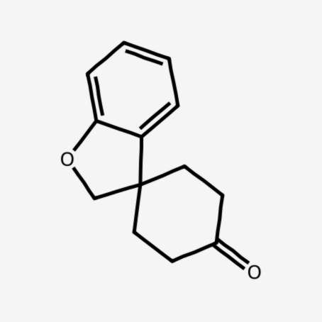 O=C1CCC2(CC1)COc1ccccc12